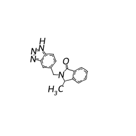 CC1c2ccccc2C(=O)N1Cc1ccc2[nH]nnc2c1